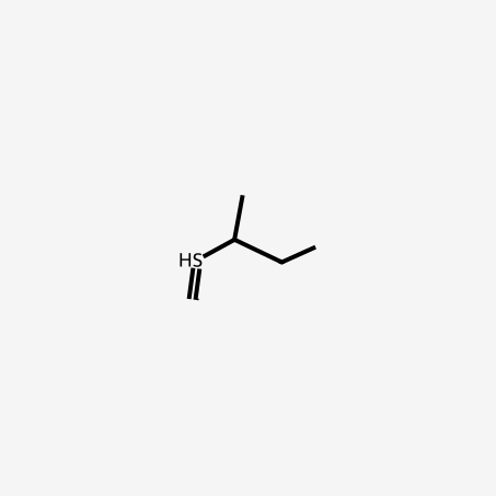 [CH]=[SH]C(C)CC